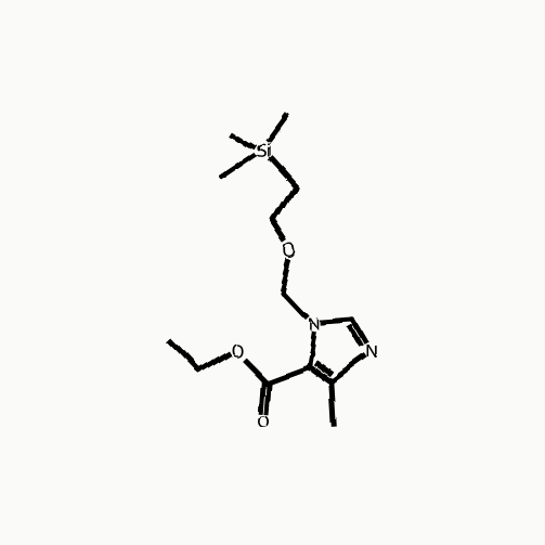 CCOC(=O)c1c(C)ncn1COCC[Si](C)(C)C